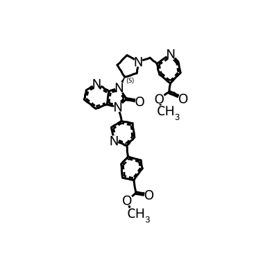 COC(=O)c1ccc(-c2ccc(-n3c(=O)n([C@H]4CCN(Cc5cc(C(=O)OC)ccn5)C4)c4ncccc43)cn2)cc1